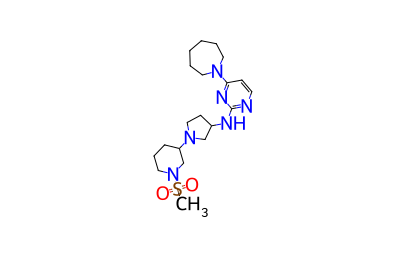 CS(=O)(=O)N1CCCC(N2CCC(Nc3nccc(N4CCCCCC4)n3)C2)C1